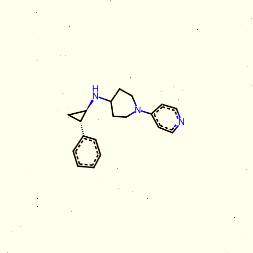 c1ccc([C@@H]2C[C@H]2NC2CCN(c3ccncc3)CC2)cc1